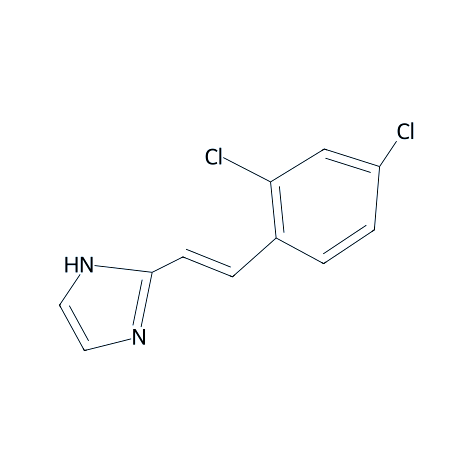 Clc1ccc(/C=C/c2ncc[nH]2)c(Cl)c1